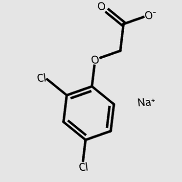 O=C([O-])COc1ccc(Cl)cc1Cl.[Na+]